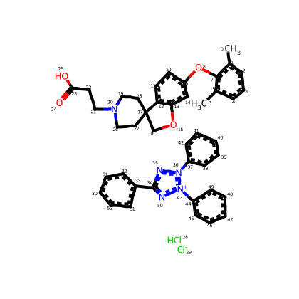 Cc1cccc(C)c1Oc1ccc2c(c1)OCC21CCN(CCC(=O)O)CC1.Cl.[Cl-].c1ccc(-c2nn(-c3ccccc3)[n+](-c3ccccc3)n2)cc1